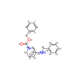 O=C(OCc1ccccc1)N1CC2CCC1C(NCc1ccccc1)C2